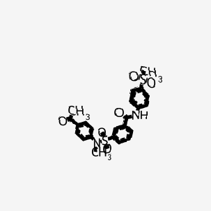 CC(=O)c1ccc(N(C)S(=O)(=O)c2cccc(C(=O)Nc3ccc(S(C)(=O)=O)cc3)c2)cc1